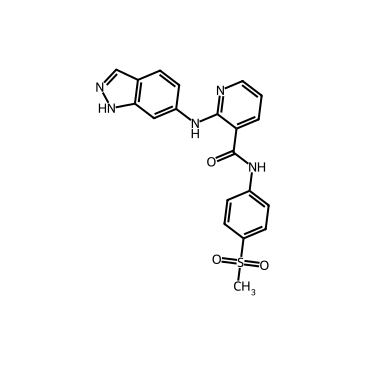 CS(=O)(=O)c1ccc(NC(=O)c2cccnc2Nc2ccc3cn[nH]c3c2)cc1